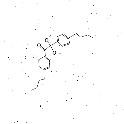 CCCCc1ccc(C(=O)C(OC)(OC)c2ccc(CCCC)cc2)cc1